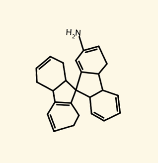 NC1=CCC2C(=C1)C1(C3=C(C=CCC3)C3CC=CCC31)C1C=CC=CC21